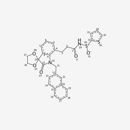 O=C(CCc1cccc2c1N(Cc1ccc3ccccc3c1)C(=O)C21OCCO1)N[S+]([O-])c1cccs1